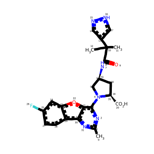 Cc1nc(N2C[C@@H](NC(=O)C(C)(C)c3cn[nH]c3)C[C@H]2C(=O)O)c2oc3cc(F)ccc3c2n1